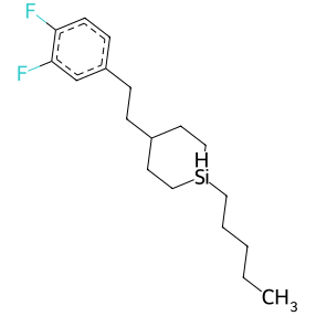 CCCCC[SiH]1CCC(CCc2ccc(F)c(F)c2)CC1